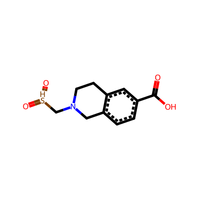 O=C(O)c1ccc2c(c1)CCN(C[SH](=O)=O)C2